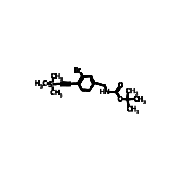 CC(C)(C)OC(=O)NCc1ccc(C#C[Si](C)(C)C)c(Br)c1